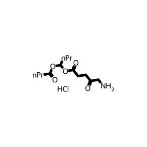 CCCC(=O)OC(CCC)OC(=O)CCC(=O)CN.Cl